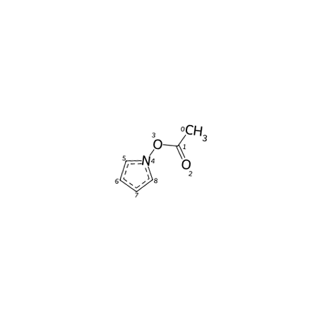 CC(=O)On1cccc1